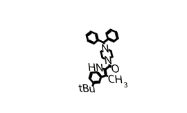 Cc1c(C(=O)N2CCN(C(c3ccccc3)c3ccccc3)CC2)[nH]c2ccc(C(C)(C)C)cc12